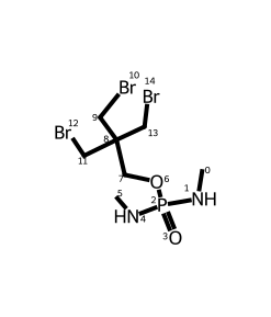 CNP(=O)(NC)OCC(CBr)(CBr)CBr